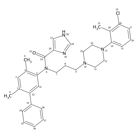 Cc1cc(C)c(N(CCCN2CCN(c3cccc(Cl)c3C)CC2)C(=O)c2c[nH]cn2)cc1-c1ccccc1